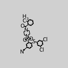 Cc1ccccc1C(=O)N1CCN(S(=O)(=O)c2cc(C#N)ccc2Sc2cc(Cl)cc(Cl)c2)CC1